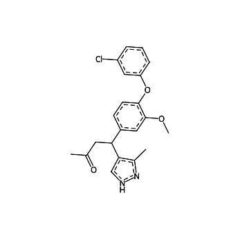 COc1cc(C(CC(C)=O)c2c[nH]nc2C)ccc1Oc1cccc(Cl)c1